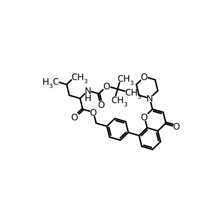 CC(C)CC(NC(=O)OC(C)(C)C)C(=O)OCc1ccc(-c2cccc3c(=O)cc(N4CCOCC4)oc23)cc1